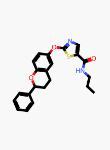 CCCNC(=O)c1cnc(Oc2ccc3c(c2)CCC(c2ccccc2)O3)s1